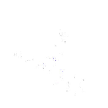 CCCCN1CC(=NC(=O)c2ccccc2)N(CCCC)C1